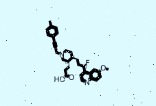 COc1ccc2nccc([C@H](F)CC[C@@H]3CCN(CC#Cc4ccc(C)cc4)C[C@H]3CCC(=O)O)c2c1